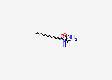 CCCCCCCCCCCCCC(=O)N[C@H](C(N)=O)C(C)C